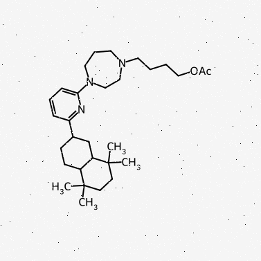 CC(=O)OCCCCN1CCCN(c2cccc(C3CCC4C(C3)C(C)(C)CCC4(C)C)n2)CC1